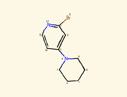 Brc1cc(N2CCCCC2)ccn1